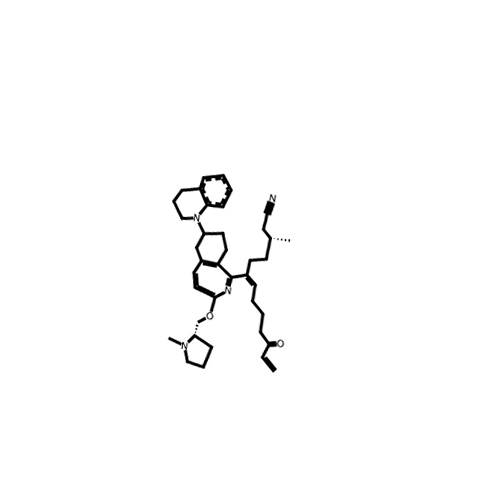 C=CC(=O)CCC/C=C(/CC[C@@H](C)CC#N)C1=NC(OC[C@@H]2CCCN2C)=C=CC2=C1CCC(N1CCCc3ccccc31)C2